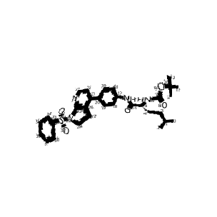 CC(C)CC[C@@H](NC(=O)OC(C)(C)C)C(=O)Nc1ccc(-c2ccnc3c2ccn3S(=O)(=O)c2ccccc2)cc1